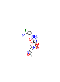 Cc1cc(CC2(C)COc3c(cn(C)c3C(=O)Nc3ccc(F)c(C#N)c3)S(=O)(=O)N2)no1